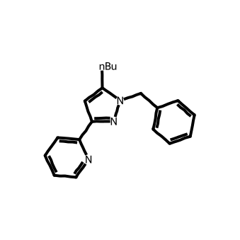 CCCCc1cc(-c2ccccn2)nn1Cc1ccccc1